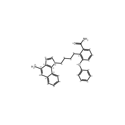 NC(=O)c1cccc(Oc2ccccc2)c1CCCCn1cnc2c(N)nc3ccccc3c21